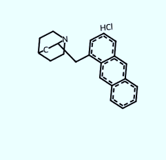 Cl.c1ccc2cc3c(CC4CC5CCN4CC5)cccc3cc2c1